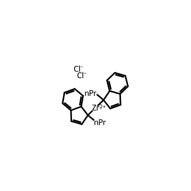 CCC[C]1([Zr+2][C]2(CCC)C=Cc3ccccc32)C=Cc2ccccc21.[Cl-].[Cl-]